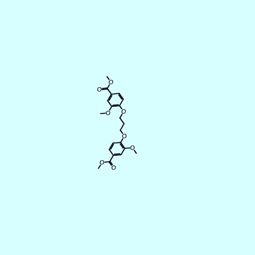 COC(=O)c1ccc(OCCCOc2ccc(C(=O)OC)cc2OC)c(OC)c1